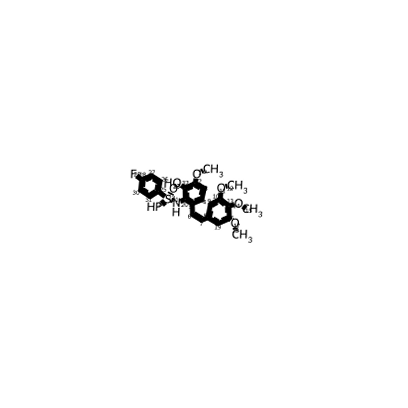 COc1ccc(/C=C\c2cc(OC)c(OC)c(OC)c2)c(NS(=O)(=P)c2ccc(F)cc2)c1O